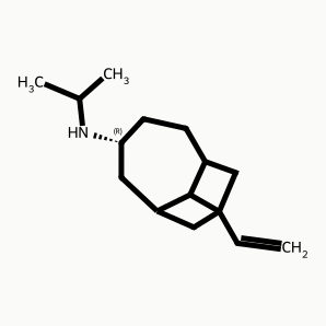 C=CC12CC3CC[C@@H](NC(C)C)CC(C1)C32